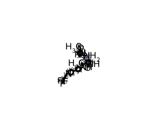 C=C(Nc1ccc(C2CCN(CCCC(F)(F)F)CC2)cc1)c1c(/C=C(\N)c2cncc(OC)n2)cc[nH]c1=O